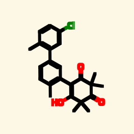 Cc1ccc(-c2cc(Cl)ccc2C)cc1C1=C(O)C(C)(C)C(=O)C(C)(C)C1=O